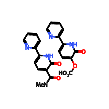 CNC(=O)c1ccc(-c2ccccn2)[nH]c1=O.O=C(O)Oc1ccc(-c2ccccn2)[nH]c1=O